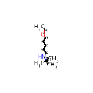 CCOCCCCCNC(C)(C)C